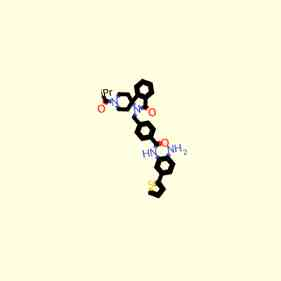 CC(C)C(=O)N1CCC2(CC1)c1ccccc1C(=O)N2Cc1ccc(C(=O)Nc2cc(-c3cccs3)ccc2N)cc1